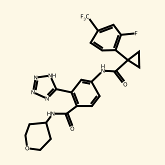 O=C(NC1CCOCC1)c1ccc(NC(=O)C2(c3ccc(C(F)(F)F)cc3F)CC2)cc1-c1nnn[nH]1